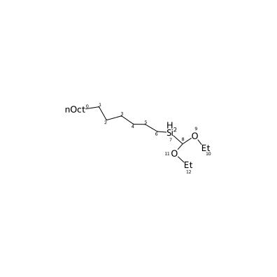 CCCCCCCCCCCCCC[SiH2]C(OCC)OCC